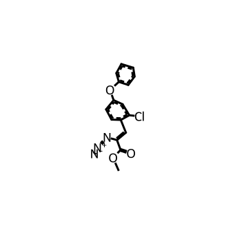 COC(=O)C(=Cc1ccc(Oc2ccccc2)cc1Cl)N=[N+]=[N-]